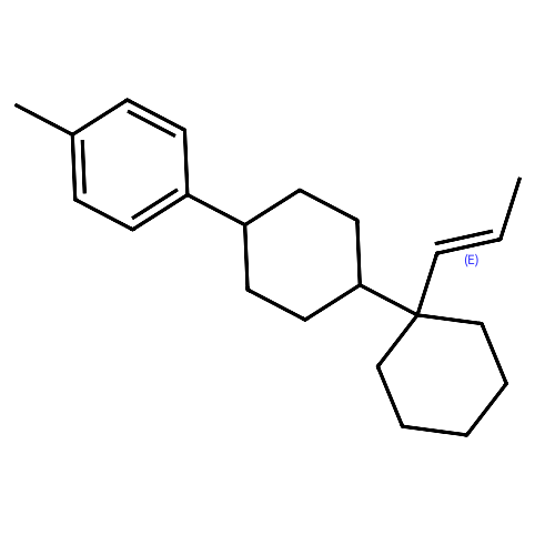 C/C=C/C1(C2CCC(c3ccc(C)cc3)CC2)CCCCC1